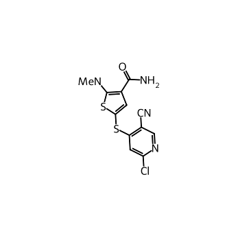 CNc1sc(Sc2cc(Cl)ncc2C#N)cc1C(N)=O